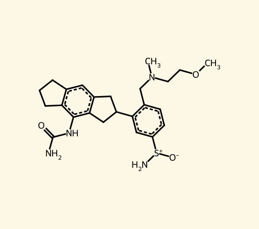 COCCN(C)Cc1ccc([S+](N)[O-])cc1C1Cc2cc3c(c(NC(N)=O)c2C1)CCC3